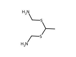 CC(SCN)SCN